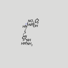 N=C(N)Nc1nc(CSCCN/C(=C/[N+](=O)[O-])NCC(O)c2cccs2)cs1